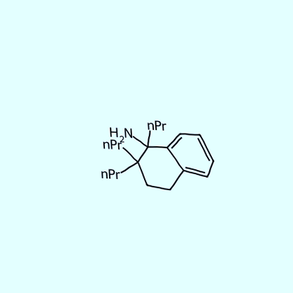 CCCC1(CCC)CCc2ccccc2C1(N)CCC